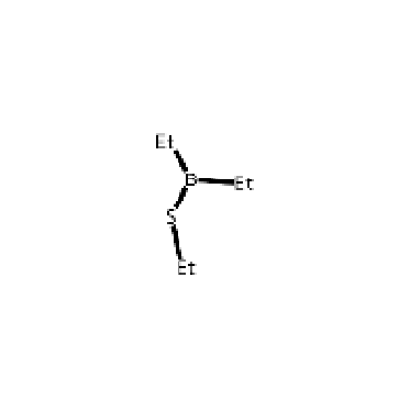 CCSB(CC)CC